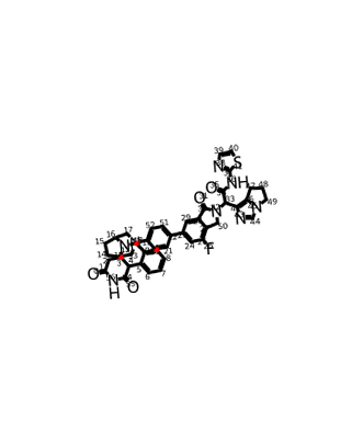 O=C1CCC(c2ccccc2CN2C3CCC2CN(c2ccc(-c4cc(F)c5c(c4)C(=O)N(C(C(=O)Nc4nccs4)c4ncn6c4CCC6)C5)cc2)C3)C(=O)N1